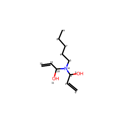 C=CC(O)N(CCCCC)C(O)C=C